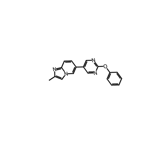 Cc1cn2cc(-c3cnc(Oc4ccccc4)nc3)ccc2n1